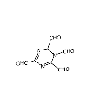 O=CC1=NC(C=O)N(C=O)C(C=O)=N1